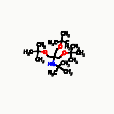 CC(C)(C)NC(COC(C)(C)C)(COC(C)(C)C)COC(C)(C)C